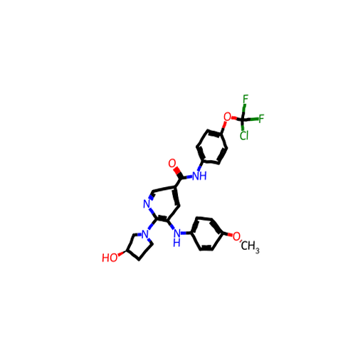 COc1ccc(Nc2cc(C(=O)Nc3ccc(OC(F)(F)Cl)cc3)cnc2N2CC[C@@H](O)C2)cc1